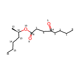 CCCCC(=O)CCC(=O)O[C@H](C)CCCC